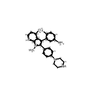 Cn1c(-c2ccc(N3CCNCC3)cc2)c(-c2cc(N)ccc2F)c2c(Cl)ccnc21